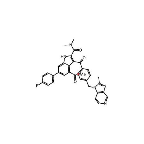 COC(=O)c1cc(-c2ccc(F)cc2)cc2[nH]c(C(=O)N(C)C)c(C(=O)c3ccc(Cn4c(C)nc5cnccc54)cc3)c12